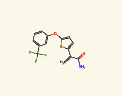 C=C(C(N)=O)c1ccc(Oc2cccc(C(F)(F)F)c2)s1